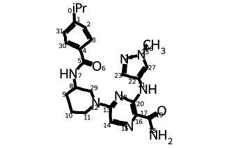 CC(C)c1ccc(C(=O)NC2CCCN(c3cnc(C(N)=O)c(Nc4cnn(C)c4)n3)C2)cc1